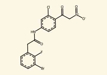 O=C(Cc1cccc(Br)c1F)Nc1ccc(C(=O)C[N+](=O)[O-])c(Cl)c1